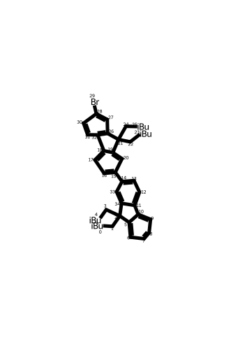 CCC(C)CC1(CC(C)CC)c2ccccc2-c2ccc(-c3ccc4c(c3)C(CC(C)CC)(CC(C)CC)c3cc(Br)ccc3-4)cc21